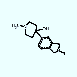 CN1CCC(O)(c2ccc3c(c2)CN(I)C3)CC1